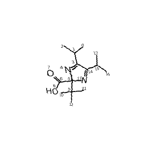 CC(C)C1=NC(C(=O)O)(C(C)(C)C)N=C1C(C)C